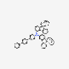 c1ccc(-c2ccc(-c3ccc(N(c4ccc5c(c4)-c4ccccc4C54C5CC6CC(C5)CC4C6)c4cccc5c4-c4ccccc4C54C5CC6CC(C5)CC4C6)cc3)cc2)cc1